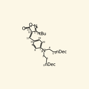 CCCCCCCCCCCCN(CCCCCCCCCCCC)c1ccc(C=C2C(=O)ON=C2C(C)(C)C)cc1